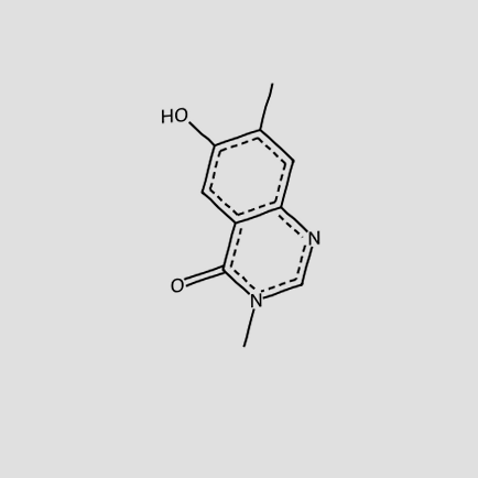 Cc1cc2ncn(C)c(=O)c2cc1O